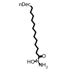 CCCCCCCCCCCCCCCCCCCCCCC(=O)N(N)O